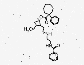 C=CC1C[C@H](OC(=O)C2(c3ccccc3)CCCCCC2)C1CCNCCNC(=O)c1ccccn1